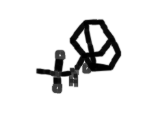 CS(=O)(=O)NC12CC3CC(C1)C(=O)C(C3)C2